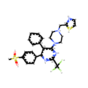 CS(=O)(=O)c1ccc(-c2nc(C(F)(F)F)nc(N3CCN(Cc4nccs4)CC3)c2-c2ccccc2)cc1